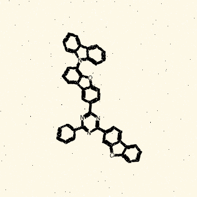 c1ccc(-c2nc(-c3ccc4c(c3)oc3ccccc34)nc(-c3ccc4oc5c(-n6c7ccccc7c7ccccc76)cccc5c4c3)n2)cc1